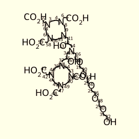 O=C(O)CN1CCN(CC(=O)O)CCN(CC(O)CN(CCOCCOCCOCCOCCOCCO)CC(O)CN2CCN(CC(=O)O)CCN(CC(=O)O)CCN(C(=O)O)CC2)CCN(CC(=O)O)CC1